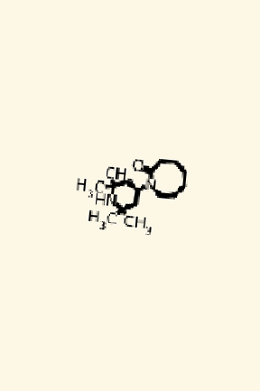 CC1(C)CC(N2CCCCCCC2=O)CC(C)(C)N1